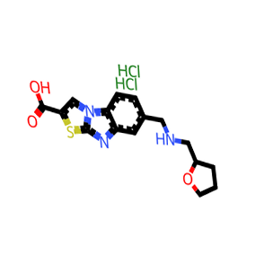 Cl.Cl.O=C(O)c1cn2c(nc3cc(CNCC4CCCO4)ccc32)s1